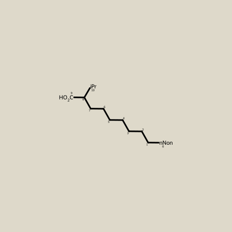 CCCCCCCCCCCCCCCCC(C(=O)O)C(C)C